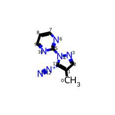 Cc1cnn(-c2ncccn2)c1[N+]#N